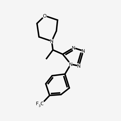 CC(c1nnnn1-c1ccc(C(F)(F)F)cc1)N1CCOCC1